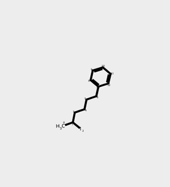 CC(I)CCCCc1cc[c]cc1